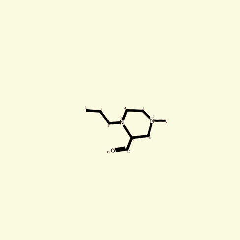 CCCN1CCN(C)CC1C=O